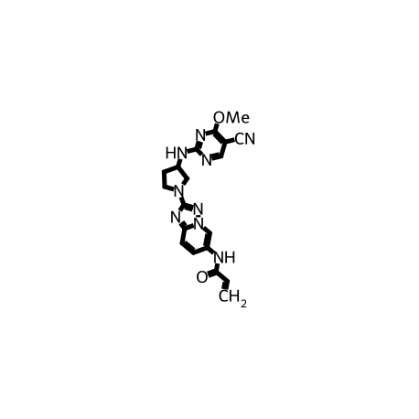 C=CC(=O)Nc1ccc2nc(N3CCC(Nc4ncc(C#N)c(OC)n4)C3)nn2c1